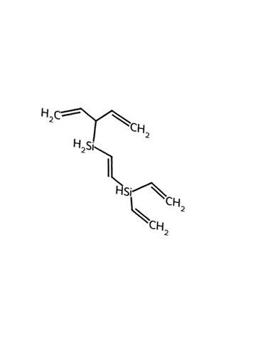 C=CC(C=C)[SiH2]C=C[SiH](C=C)C=C